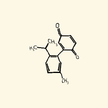 Cc1ccc(C(C)C)c(C2=CC(=O)C=CC2=O)c1